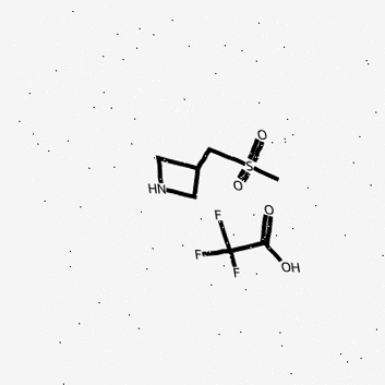 CS(=O)(=O)CC1CNC1.O=C(O)C(F)(F)F